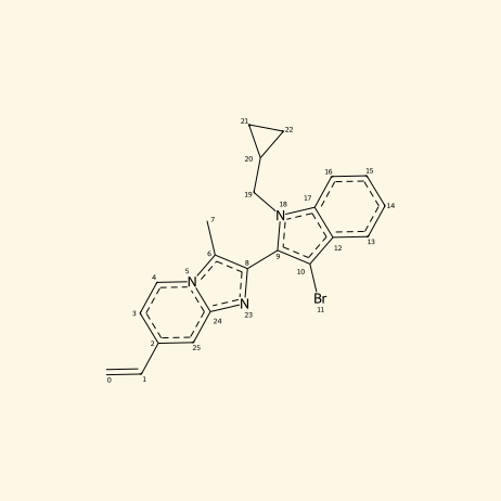 C=Cc1ccn2c(C)c(-c3c(Br)c4ccccc4n3CC3CC3)nc2c1